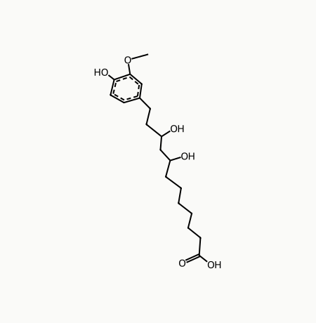 COc1cc(CCC(O)CC(O)CCCCCCC(=O)O)ccc1O